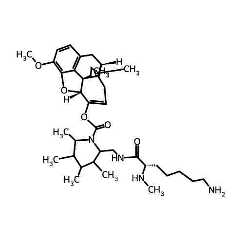 CN[C@@H](CCCCCN)C(=O)NCC1C(C)C(C)C(C)C(C)N1C(=O)OC1=CC[C@@]2(C)[C@H]3Cc4ccc(OC)c5c4[C@@]2(CCN3C)[C@H]1O5